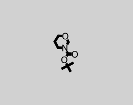 CC(C)(C)OC(=O)N1CCCOC1